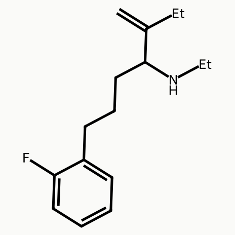 C=C(CC)C(CCCc1ccccc1F)NCC